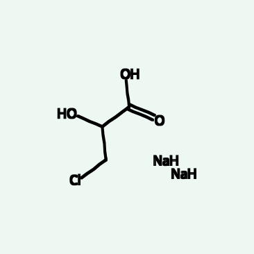 O=C(O)C(O)CCl.[NaH].[NaH]